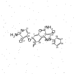 NC(=O)c1c(-c2ccc(Oc3ccnc(N)c3Cl)c(F)c2)nn(-c2ccccc2)c1Cl